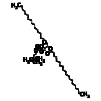 CCCCCCCCCCCCCC=CC=CC=CC(=O)O[C@H](COCCCCCCCCCCCCCCCC)COP(=O)([O-])OCC[N+](C)(C)C